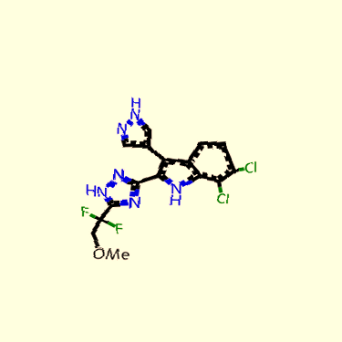 COCC(F)(F)c1nc(-c2[nH]c3c(Cl)c(Cl)ccc3c2-c2cn[nH]c2)n[nH]1